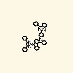 c1ccc(-c2cc(-c3ccccc3)nc(-n3c4ccccc4c4c5c6ccccc6n(-c6ccc(-c7nc(-c8ccccc8)c8ccccc8n7)cc6)c5ccc43)n2)cc1